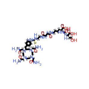 NC(=O)CN1CCN(CC(N)=O)CCN(CC(N)=O)C(Cc2ccc(NC(=S)NCCNC(=O)CCC(=O)NCCCC[C@H](NC(=O)N[C@@H](CCO)C(=O)O)C(=O)O)cc2)CN(CC(N)=O)CC1